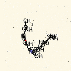 CC#Cc1ccc(NC(=O)CCCCn2cc(CCCC(=O)NCCCc3ccc(/N=N/c4ccc(O)cc4OCCOCCOCCOCCNC(=O)CCCC[C@@H]4SCC5NC(=O)NC54)c(C(=O)O)c3)nn2)cc1